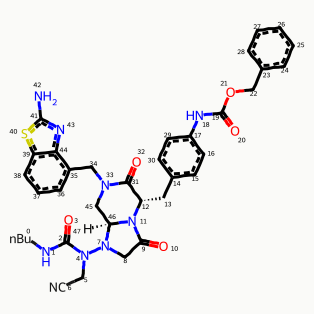 CCCCNC(=O)N(CC#N)N1CC(=O)N2[C@@H](Cc3ccc(NC(=O)OCc4ccccc4)cc3)C(=O)N(Cc3cccc4sc(N)nc34)C[C@@H]21